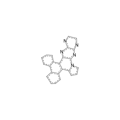 c1ccc2c(c1)c1ccccc1c1c2c2nc3nccnc3nc2n2cccc12